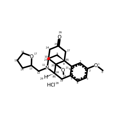 COc1ccc2c(c1)[C@]13CCN(CC4CCCO4)[C@H](C2)C1(OC)CCC(=O)C3.Cl